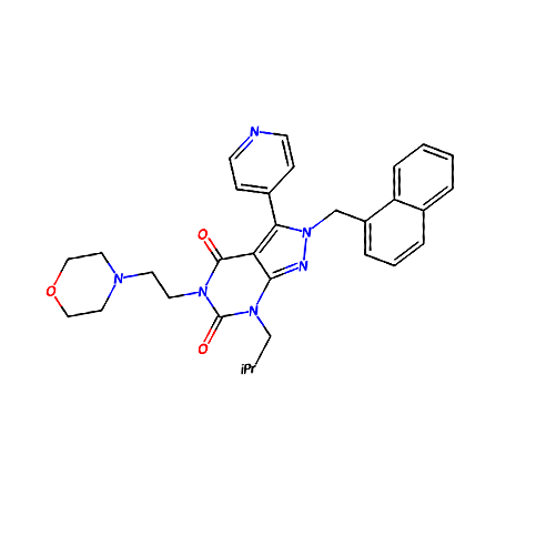 CC(C)Cn1c(=O)n(CCN2CCOCC2)c(=O)c2c(-c3ccncc3)n(Cc3cccc4ccccc34)nc21